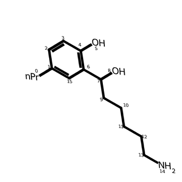 CCCc1ccc(O)c(C(O)CCCCCN)c1